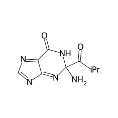 CC(C)C(=O)C1(N)N=C2N=CN=C2C(=O)N1